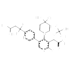 Cc1ncc(-c2ccc(C(F)(F)CC(C)C)nc2)c(N2CCC(C)(C)CC2)c1[C@H](OC(C)(C)C)C(=O)O